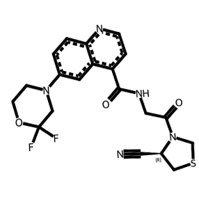 N#C[C@@H]1CSCN1C(=O)CNC(=O)c1ccnc2ccc(N3CCOC(F)(F)C3)cc12